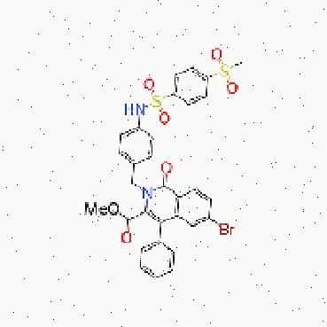 COC(=O)c1c(-c2ccccc2)c2cc(Br)ccc2c(=O)n1Cc1ccc(NS(=O)(=O)c2ccc(S(C)(=O)=O)cc2)cc1